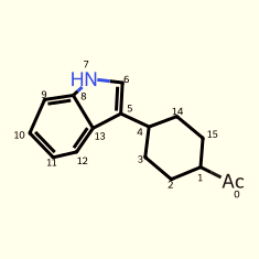 CC(=O)C1CCC(c2c[nH]c3ccccc23)CC1